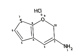 Cl.NC1=Cc2ccsc2OC1